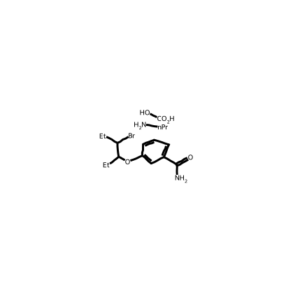 CCC(Br)C(CC)Oc1cccc(C(N)=O)c1.CCCN.O=C(O)O